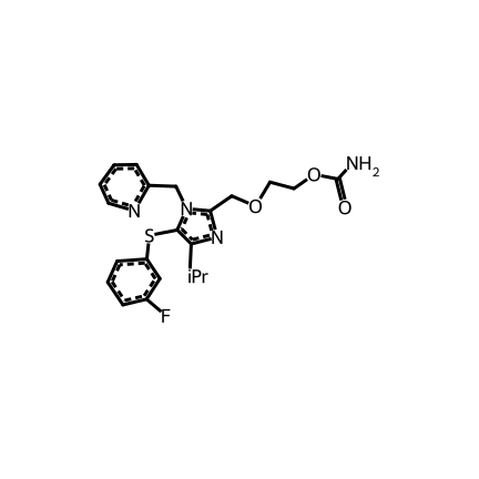 CC(C)c1nc(COCCOC(N)=O)n(Cc2ccccn2)c1Sc1cccc(F)c1